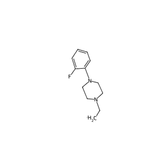 [CH2]CN1CCN(c2ccccc2F)CC1